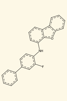 Fc1cc(-c2ccccc2)ccc1Nc1cccc2c1oc1ccccc12